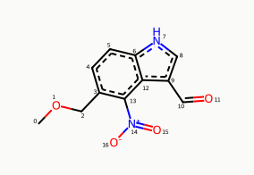 COCc1ccc2[nH]cc(C=O)c2c1[N+](=O)[O-]